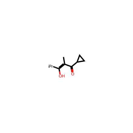 C/C(C(=O)C1CC1)=C(/O)C(C)C